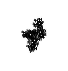 [2H]c1c([2H])c(F)c(F)c(C([2H])([2H])Sc2c([2H])c(=O)c3c([2H])c(C)c([2H])c([2H])c3n2C([2H])([2H])C(=O)N(Cc2c([2H])c([2H])c(-c3c([2H])c([2H])c(C(F)(F)F)c([2H])c3[2H])c([2H])c2[2H])C2([2H])C([2H])([2H])C([2H])([2H])N(CC([2H])([2H])OC)C([2H])([2H])C2([2H])[2H])c1[2H]